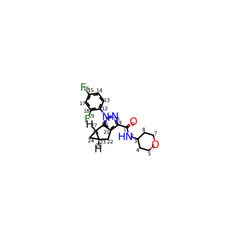 O=C(NC1CCOCC1)c1nn(-c2ccc(F)cc2F)c2c1C[C@@H]1C[C@H]21